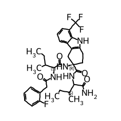 CCC(C)[C@H](NC(=O)Cc1ccccc1F)C(=O)N[C@]1(C(=O)NC(C(N)=O)[C@@H](C)CC)CCc2[nH]c3c(C(F)(F)F)cccc3c2C1